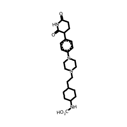 O=C(O)NC1CCC(CCN2CCN(c3ccc(C4CCC(=O)NC4=O)cc3)CC2)CC1